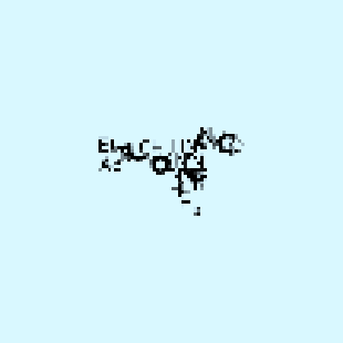 C=C(CC1CC(CC)N1C(C)=O)[C@H]1CC[C@H](Nc2nc(Nc3cnn(C4CCOCC4)c3)nc3snc(C)c23)CC1